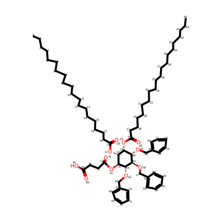 CCCCCCCCCCCCCCCCCCCC(=O)O[C@@H]1[C@H](OC(=O)CCCCCCCCCCCCCCCCCCC)[C@H](OCc2ccccc2)[C@@H](OCc2ccccc2)[C@H](OCc2ccccc2)[C@H]1OC(=O)CCC(=O)O